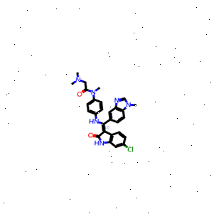 CN(C)CC(=O)N(C)c1ccc(N/C(=C2\C(=O)Nc3cc(Cl)ccc32)c2ccc3c(c2)ncn3C)cc1